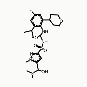 CC(C)c1cc(F)cc(C2CCOCC2)c1NC(O)NS(=O)(=O)c1cc(C(O)N(C)C)n(C)n1